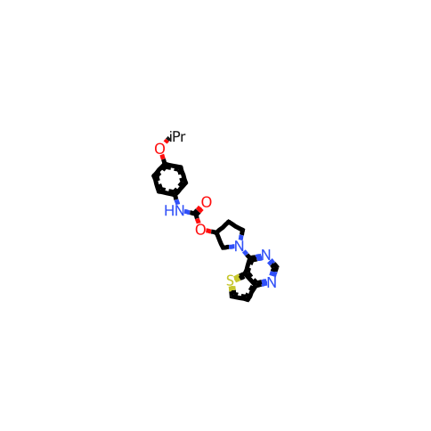 CC(C)Oc1ccc(NC(=O)OC2CCN(c3ncnc4ccsc34)C2)cc1